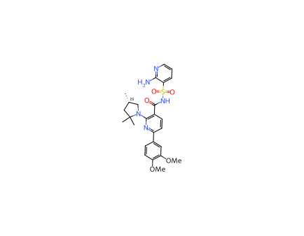 COc1ccc(-c2ccc(C(=O)NS(=O)(=O)c3cccnc3N)c(N3C[C@@H](C)CC3(C)C)n2)cc1OC